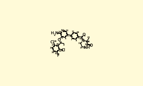 CC(Oc1cc(-c2ccc(C(=O)N3CCNC(=O)[C@@H]3C)cc2)cnc1N)c1c(Cl)ccc(F)c1Cl